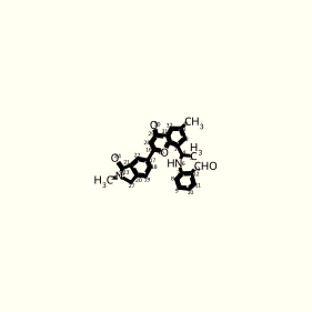 Cc1cc(C(C)Nc2ccccc2C=O)c2oc(-c3ccc4c(c3)C(=O)N(C)C4)cc(=O)c2c1